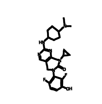 CN(C)C1CCC(Nc2ncc3c(n2)N(C2CC2)C(=O)N(c2c(F)ccc(O)c2F)C3)CC1